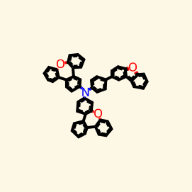 c1ccc2c(c1)Oc1cc(N(c3ccc(-c4ccc5oc6ccccc6c5c4)cc3)c3ccc4c(c3)-c3ccccc3Oc3ccccc3-4)ccc1-c1ccccc1-2